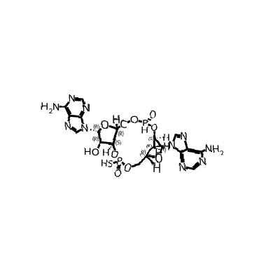 Nc1ncnc2c1ncn2[C@@H]1O[C@@H]2CO[PH](=O)O[C@@H]3[C@H](F)[C@@H](COP(=O)(S)O[C@H]2[C@H]1O)O[C@H]3n1cnc2c(N)ncnc21